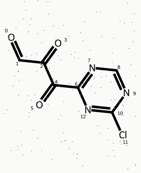 O=CC(=O)C(=O)c1ncnc(Cl)n1